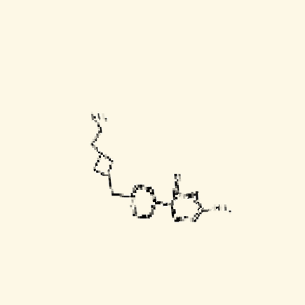 NCCC1CN(Cc2ccc(-n3ccc(N)nc3=O)cc2)C1